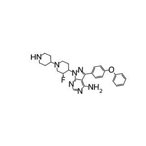 Nc1ncnc2c1c(-c1ccc(Oc3ccccc3)cc1)nn2C1CCN(C2CCNCC2)C[C@@H]1F